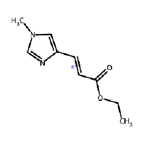 CCOC(=O)/C=C/c1cn(C)cn1